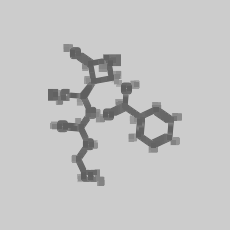 CC(OC(=O)OCC(Cl)(Cl)Cl)[C@H]1C(=O)N[C@@H]1OC(=O)c1ccccc1